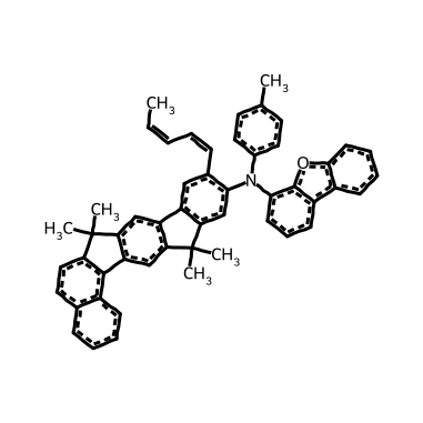 C/C=C\C=C/c1cc2c(cc1N(c1ccc(C)cc1)c1cccc3c1oc1ccccc13)C(C)(C)c1cc3c(cc1-2)C(C)(C)c1ccc2ccccc2c1-3